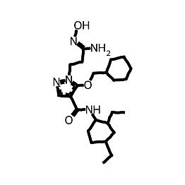 CCC1CCC(NC(=O)c2cnn(CC/C(N)=N/O)c2OCC2CCCCC2)C(CC)C1